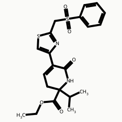 CCOC(=O)C1(C(C)C)CC=C(c2csc(CS(=O)(=O)c3ccccc3)n2)C(=O)N1